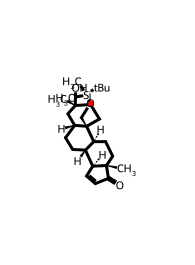 CC(C)(C)[Si](C)(C)OC[C@]12CC[C@@](C)(O)C[C@H]1CC[C@@H]1[C@@H]2CC[C@]2(C)C(=O)C=C[C@@H]12